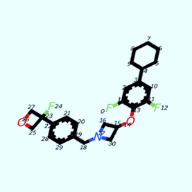 Fc1cc(C2CCCCC2)cc(F)c1OC1CN(Cc2ccc(C3(F)COC3)cc2)C1